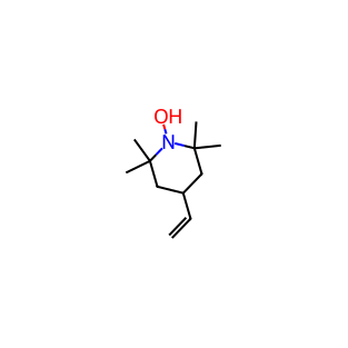 C=CC1CC(C)(C)N(O)C(C)(C)C1